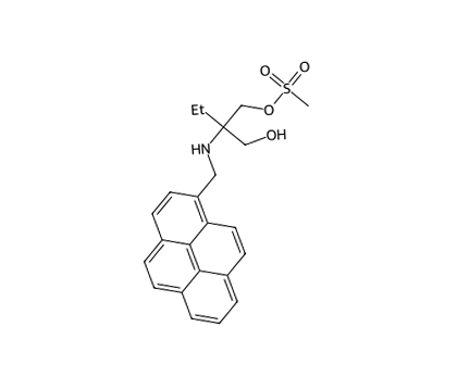 CCC(CO)(COS(C)(=O)=O)NCc1ccc2ccc3cccc4ccc1c2c34